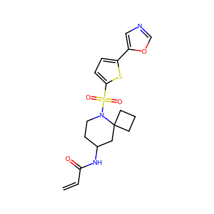 C=CC(=O)NC1CCN(S(=O)(=O)c2ccc(-c3cnco3)s2)C2(CCC2)C1